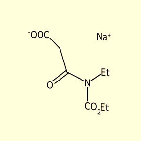 CCOC(=O)N(CC)C(=O)CC(=O)[O-].[Na+]